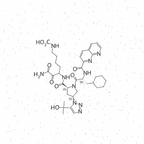 CC(C)(O)c1cnnn1[C@H]1C[C@@H](C(=O)NC(CCCCNC(=O)O)C(=O)C(N)=O)N(C(=O)[C@@H](CC2CCCCC2)NC(=O)c2ccc3cccnc3n2)C1